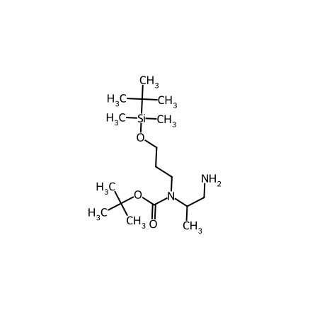 CC(CN)N(CCCO[Si](C)(C)C(C)(C)C)C(=O)OC(C)(C)C